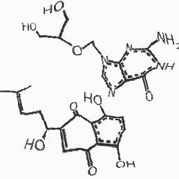 CC(C)=CC[C@H](O)C1=CC(=O)c2c(O)ccc(O)c2C1=O.Nc1nc2c(ncn2COC(CO)CO)c(=O)[nH]1